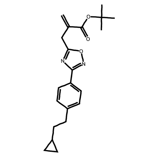 C=C(Cc1nc(-c2ccc(CCC3CC3)cc2)no1)C(=O)OC(C)(C)C